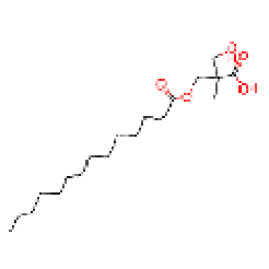 CCCCCCCCCCCCCC(=O)OCC(C)(CO)C(=O)O